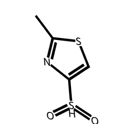 Cc1nc([SH](=O)=O)cs1